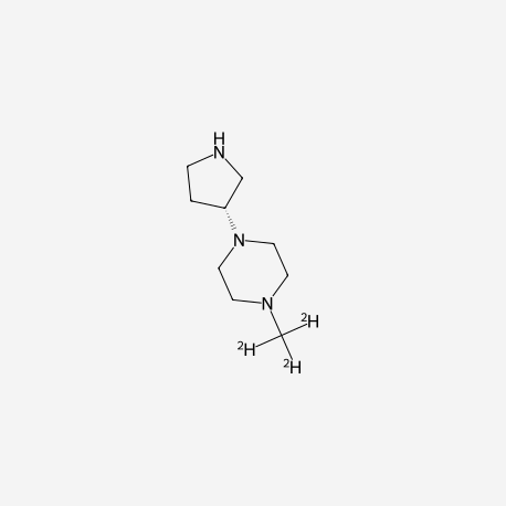 [2H]C([2H])([2H])N1CCN([C@@H]2CCNC2)CC1